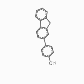 Oc1ccc(-c2ccc3c(c2)Cc2ccccc2-3)cc1